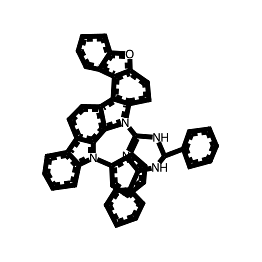 c1ccc(C2N=C(n3c4ccc5oc6ccccc6c5c4c4ccc5c6ccccc6n(-c6ccccc6)c5c43)NC(c3ccccc3)N2)cc1